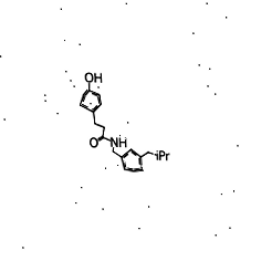 CC(C)Cc1cccc(CNC(=O)CCc2ccc(O)cc2)c1